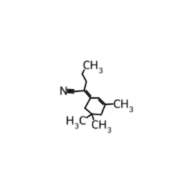 CCCC(C#N)=C1C=C(C)CC(C)(C)C1